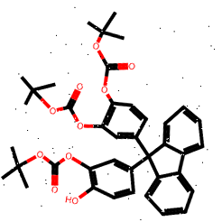 CC(C)(C)OC(=O)Oc1cc(C2(c3ccc(OC(=O)OC(C)(C)C)c(OC(=O)OC(C)(C)C)c3)c3ccccc3-c3ccccc32)ccc1O